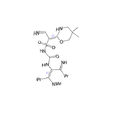 CN/C(=C(/NC(=O)NS(=O)(=O)/C(C=N)=C1/NCC(C)(C)CO1)C(=N)C(C)C)C(C)C